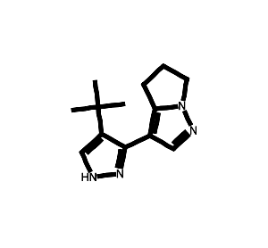 CC(C)(C)c1c[nH]nc1-c1cnn2c1CCC2